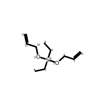 C=CCO[Si](CC)(CC)OCC=C